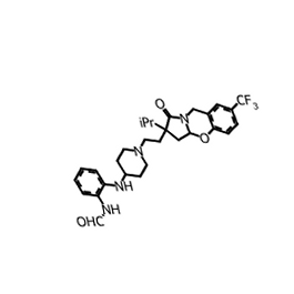 CC(C)C1(CCN2CCC(Nc3ccccc3NC=O)CC2)CC2Oc3ccc(C(F)(F)F)cc3CN2C1=O